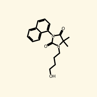 CC1(C)C(=O)N(c2cccc3ccccc23)C(=O)N1CCCCO